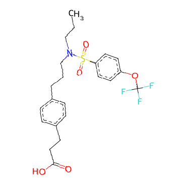 CCCN(CCCc1ccc(CCC(=O)O)cc1)S(=O)(=O)c1ccc(OC(F)(F)F)cc1